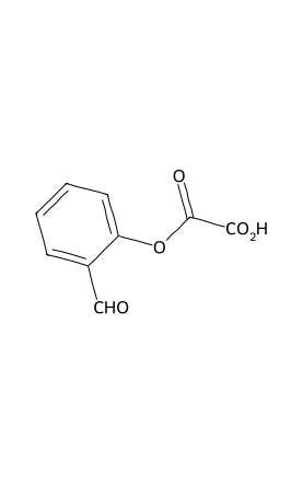 O=Cc1ccccc1OC(=O)C(=O)O